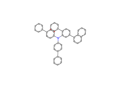 c1ccc(-c2ccc(N(c3ccc(-c4ccccc4)cc3)c3cc(-c4cccc5ccccc45)ccc3-c3ccccc3)cc2)cc1